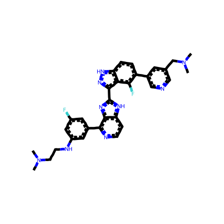 CN(C)CCNc1cc(F)cc(-c2nccc3[nH]c(-c4n[nH]c5ccc(-c6cncc(CN(C)C)c6)c(F)c45)nc23)c1